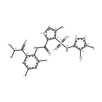 Cc1cc(C)c(NC(=O)c2scc(C)c2S(=O)(=O)Nc2onc(C)c2Cl)c(C(=O)C(C)C)c1